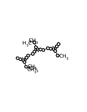 Cc1cccc(-c2cc3c4cc5ccccc5cc4n4c5cc6ccc(-c7ccc8cc9c(cc8c7)c7cc(-c8cccc(C(C)C)c8)cc8c%10cc%11cc(-c%12ccc%13cc%14c(cc%13c%12)c%12cc(-c%13cccc(C(C)(C)C)c%13)cc%13c%15cc%16ccccc%16cc%15n%14c%13%12)ccc%11cc%10n9c78)cc6cc5c(c2)c34)c1